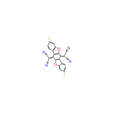 N#CC(C#N)=c1c2oc3cc(F)ccc3c2c(=C(C#N)C#N)c2oc3cc(F)ccc3c12